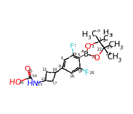 CC1(C)OB(c2c(F)cc(C3CC(NC(=O)O)C3)cc2F)OC1(C)C